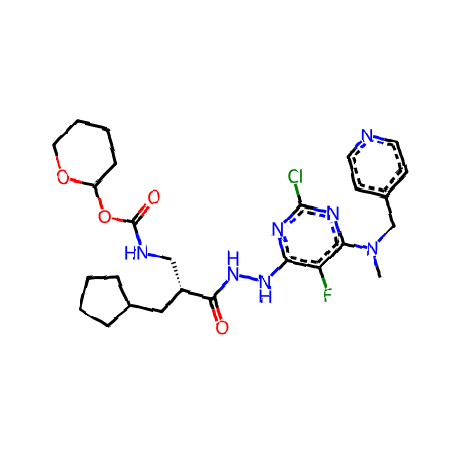 CN(Cc1ccncc1)c1nc(Cl)nc(NNC(=O)[C@@H](CNC(=O)OC2CCCCO2)CC2CCCC2)c1F